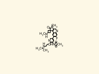 CNC1CC2(C1)C(=O)N(C)c1cnc3cc(F)c(-c4cnc(OCCNC(C)C)c(NS(C)(=O)=O)c4)cc3c12